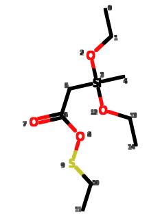 CCO[Si](C)(CC(=O)OSCC)OCC